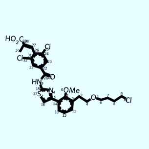 COc1c(CCOCCCCCl)cccc1-c1csc(NC(=O)c2cc(Cl)c(/C=C(\C)C(=O)O)c(Cl)c2)n1